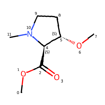 COC(=O)[C@@H]1[C@@H](OC)CCN1C